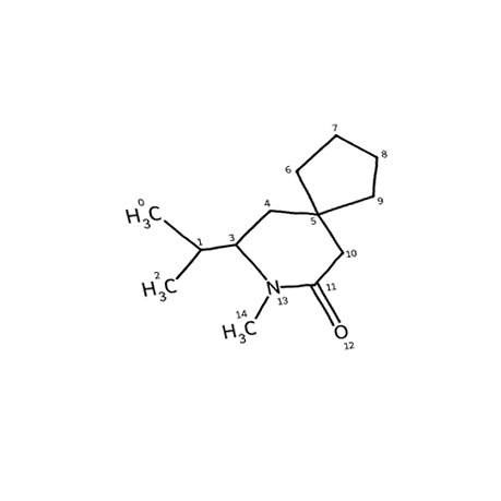 CC(C)C1CC2(CCCC2)CC(=O)N1C